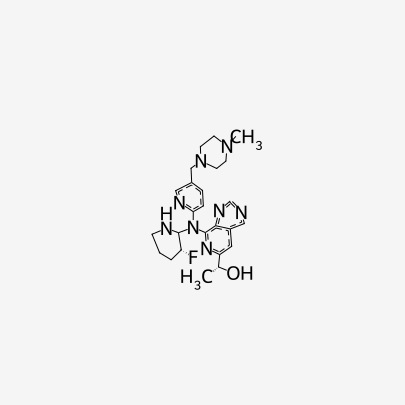 C[C@@H](O)c1cc2cncnc2c(N(c2ccc(CN3CCN(C)CC3)cn2)C2NCCC[C@H]2F)n1